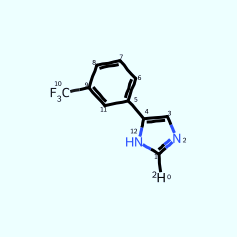 [2H]c1ncc(-c2cccc(C(F)(F)F)c2)[nH]1